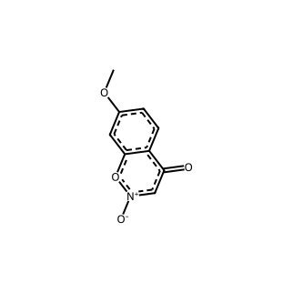 COc1ccc2c(=O)c[n+]([O-])oc2c1